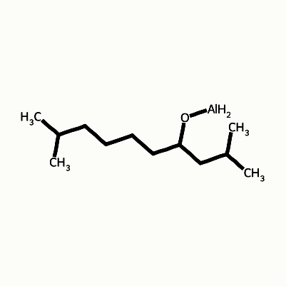 CC(C)CCCCC(CC(C)C)[O][AlH2]